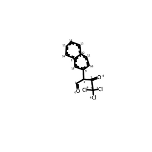 O=CC(C(=O)C(Cl)(Cl)Cl)c1ccc2ccccc2c1